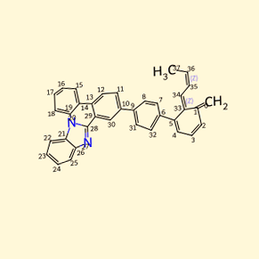 C=c1cccc(-c2ccc(-c3ccc4c5ccccc5n5c6ccccc6nc5c4c3)cc2)/c1=C/C=C\C